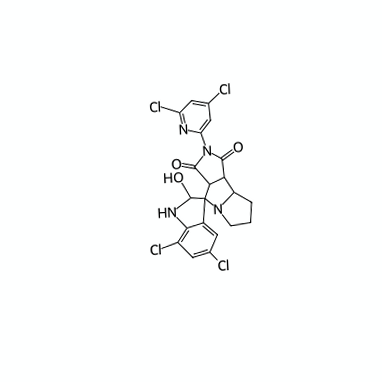 O=C1C2C3CCCN3C3(c4cc(Cl)cc(Cl)c4NC3O)C2C(=O)N1c1cc(Cl)cc(Cl)n1